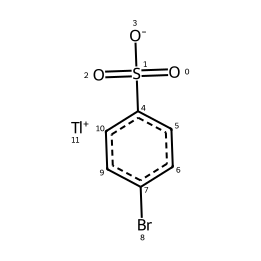 O=S(=O)([O-])c1ccc(Br)cc1.[Tl+]